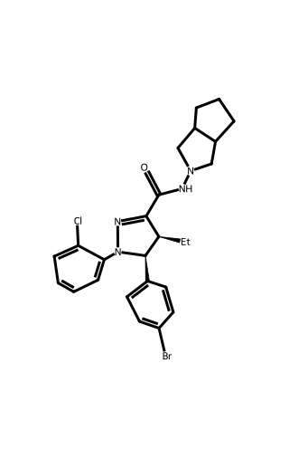 CC[C@@H]1C(C(=O)NN2CC3CCCC3C2)=NN(c2ccccc2Cl)[C@@H]1c1ccc(Br)cc1